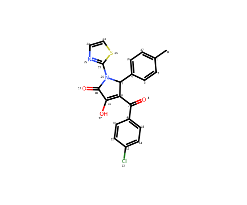 Cc1ccc(C2C(C(=O)c3ccc(Cl)cc3)=C(O)C(=O)N2c2nccs2)cc1